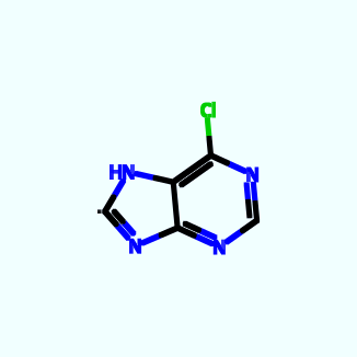 Clc1ncnc2n[c][nH]c12